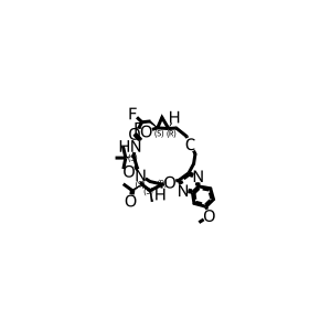 COc1ccc2nc3c(nc2c1)O[C@H]1CN(C(=O)[C@H](C(C)(C)C)NC(=O)O[C@]2(CC(F)F)C[C@H]2CCCCC3)[C@H](C(C)=O)[C@@H]1C